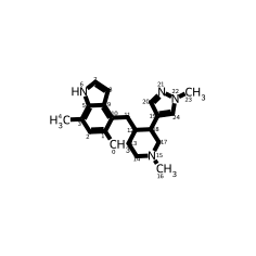 Cc1cc(C)c2[nH]ccc2c1CC1CCN(C)CC1c1cnn(C)c1